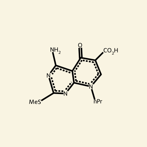 CCCn1cc(C(=O)O)c(=O)c2c(N)nc(SC)nc21